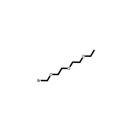 CCOCCOCCOCBr